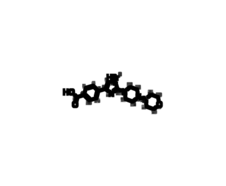 Br.O=C(O)c1ccc(-c2csc(N3CCN(N4CCOCC4)CC3)n2)cc1